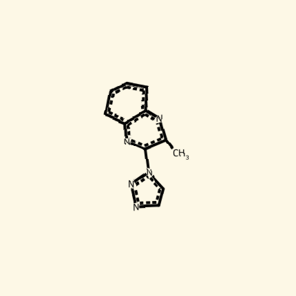 Cc1nc2ccccc2nc1-n1ccnn1